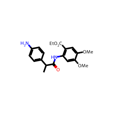 CCOC(=O)c1cc(OC)c(OC)cc1NC(=O)C(C)c1ccc(N)cc1